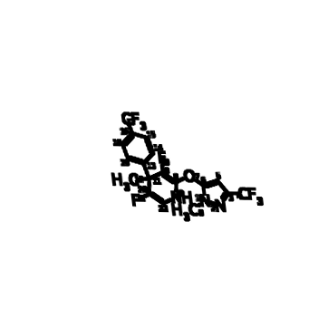 Cn1nc(C(F)(F)F)cc1OC1=C(F)C(C)(c2ccc(C(F)(F)F)cc2)C(F)=CN1